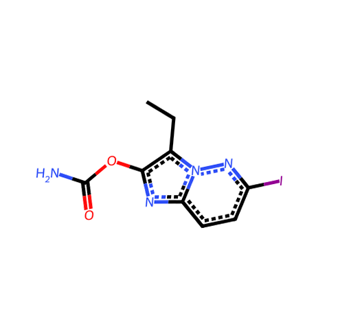 CCc1c(OC(N)=O)nc2ccc(I)nn12